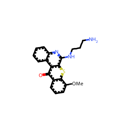 COc1cccc2c(=O)c3c(sc12)c(NCCCN)nc1ccccc13